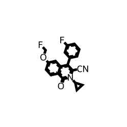 N#Cc1c(-c2cccc(F)c2)c2cc(OCF)ccc2c(=O)n1C1CC1